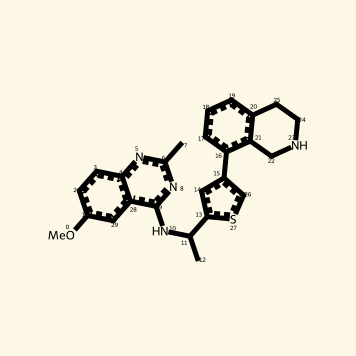 COc1[c]cc2nc(C)nc(NC(C)c3cc(-c4cccc5c4CNCC5)cs3)c2c1